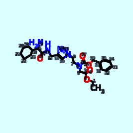 CCOC(=O)CN(CCn1cc(CNC(=O)[C@H](N)C2CCCCC2)nn1)C(=O)OCc1ccccc1